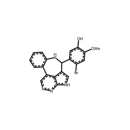 COc1cc(Br)c(C2Nc3ccccc3-c3cnnc4[nH]cc2c34)cc1O